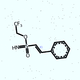 N=S(=O)(/C=C/c1ccccc1)OCC(F)(F)F